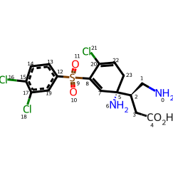 NC[C@@H](CC(=O)O)[C@@]1(N)C=C(S(=O)(=O)c2ccc(Cl)c(Cl)c2)C(Cl)=CC1